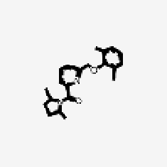 Cc1cccc(C)c1OCc1cccc(C(=O)N2C(C)CCC2C)n1